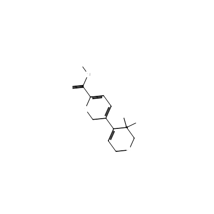 CNC(=O)C1=CC=C(C2=CCNCC2(C)C)CN1